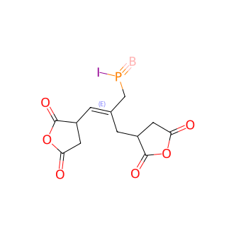 B#P(I)C/C(=C/C1CC(=O)OC1=O)CC1CC(=O)OC1=O